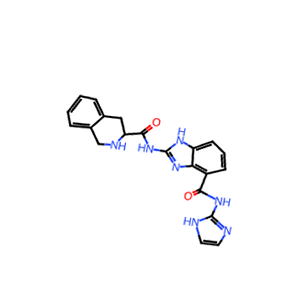 O=C(Nc1ncc[nH]1)c1cccc2[nH]c(NC(=O)C3Cc4ccccc4CN3)nc12